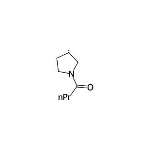 CCCC(=O)N1C[CH]CC1